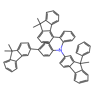 CC1(C)c2ccccc2-c2cc(-c3ccc(N(c4ccc5c(c4)C(C)(c4ccccc4)c4ccccc4-5)c4ccccc4-c4cccc5c4-c4ccccc4C5(C)C)cc3)ccc21